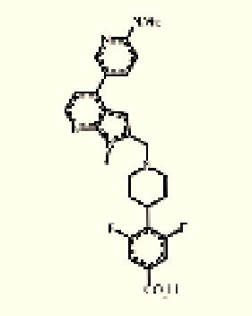 CNc1ccc(-c2ccnc3c2cc(CN2CCC(c4c(F)cc(C(=O)O)cc4F)CC2)n3C)cn1